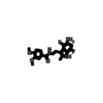 Bc1cc(F)c2[nH]c(C)c(CCNC(=O)c3ccc(OC)c(OC)c3)c2c1F